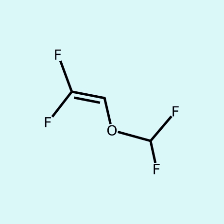 FC(F)=COC(F)F